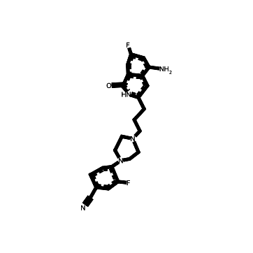 N#Cc1ccc(N2CCN(CCCc3cc4c(N)cc(F)cc4c(=O)[nH]3)CC2)c(F)c1